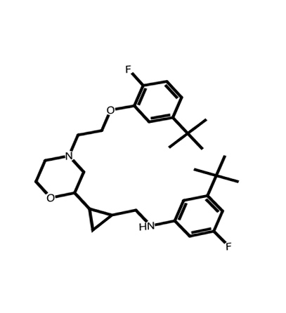 CC(C)(C)c1cc(F)cc(NCC2CC2C2CN(CCOc3cc(C(C)(C)C)ccc3F)CCO2)c1